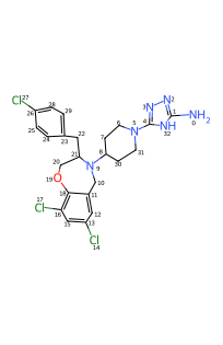 Nc1nnc(N2CCC(N3Cc4cc(Cl)cc(Cl)c4OCC3Cc3ccc(Cl)cc3)CC2)[nH]1